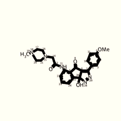 COc1ccc(C2=C3C(=O)c4c(NC(=O)CN5CCN(C)CC5)cccc4C3(O)N=N2)cc1